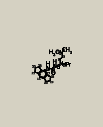 CC(C)N(CCN(C)C)SNC(=O)Nc1c2c(cc3c1CCC3)CCC2